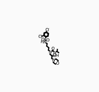 CC(C)NC(=O)N(CCCCNS(=O)(=O)c1ccc(Cl)cc1Cl)C[C@H](O)CN1CCOCC1